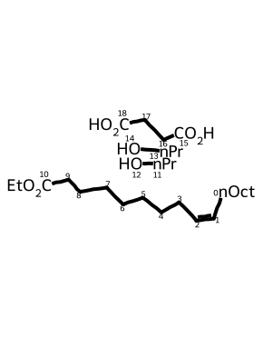 CCCCCCCC/C=C\CCCCCCCC(=O)OCC.CCCO.CCCO.O=C(O)CCC(=O)O